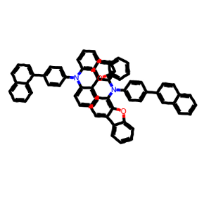 c1ccc(N(c2ccc(-c3ccc4ccccc4c3)cc2)c2cccc3c2oc2ccccc23)c(-c2ccccc2N(c2ccc(-c3cccc4ccccc34)cc2)c2cccc3c2oc2ccccc23)c1